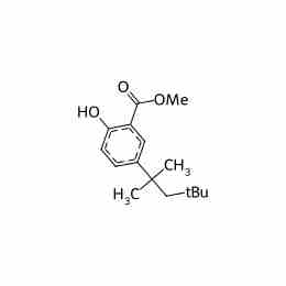 COC(=O)c1cc(C(C)(C)CC(C)(C)C)ccc1O